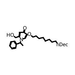 CCCCCCCCCCCCCCCCCCOc1cn(C(C)c2ccccc2)c(CO)cc1=O